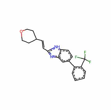 FC(F)(F)c1ccccc1-c1ccc2[nH]c(C=CC3CCOCC3)nc2c1